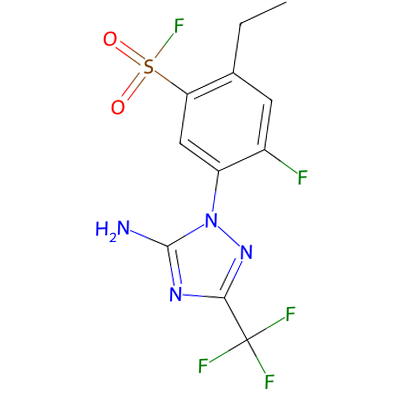 CCc1cc(F)c(-n2nc(C(F)(F)F)nc2N)cc1S(=O)(=O)F